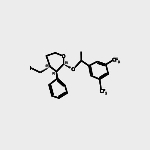 CC(O[C@H]1OCC[C@@H](CI)[C@@H]1c1ccccc1)c1cc(C(F)(F)F)cc(C(F)(F)F)c1